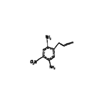 C=CCc1cc(N)c([N+](=O)[O-])cc1N